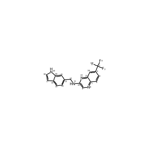 FC(F)(F)c1ccc2ncc(NCc3ccc4cc[nH]c4c3)nc2c1